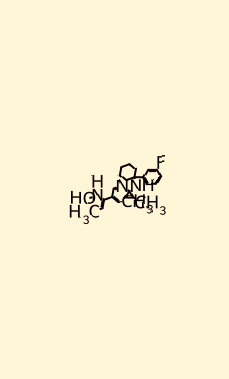 CC=C(NO)C(/C=N\[C@]1(NC2(c3cccc(F)c3)CCCCC2)CC1C)=C/C